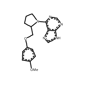 COc1ccc(OCC2CCCN2c2ncnc3[nH]cnc23)cc1